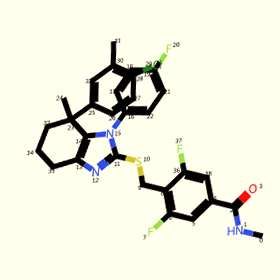 CNC(=O)c1cc(F)c(CSc2nc3c(n2-c2ccc(F)cc2)C(C)(c2ccc(Cl)c(C)c2)CCC3)c(F)c1